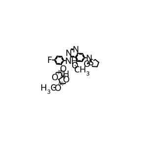 COc1cc(N=S2(=O)CCCC2)cc2ncnc(Nc3ccc(F)cc3O[C@@H]3COC4[C@H](OC)CO[C@@H]43)c12